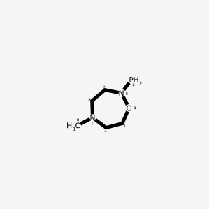 CN1CCON(P)CC1